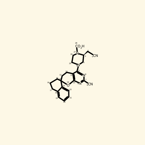 N#CC[C@H]1CN(c2nc(C#N)nc3c2CCC2(CCCc4ccccc42)O3)CCN1C(=O)O